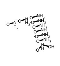 N[O].N[O].N[O].N[O].N[O].N[O].N[O].N[O].[O]NO